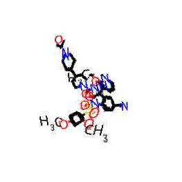 CCOc1ncccc1[C@]1(NC(=O)N2CCC(C3CCN(C4COC4)CC3)CC2)C(=O)N(S(=O)(=O)c2ccc(OC)cc2OC)c2ccc(C#N)cc21